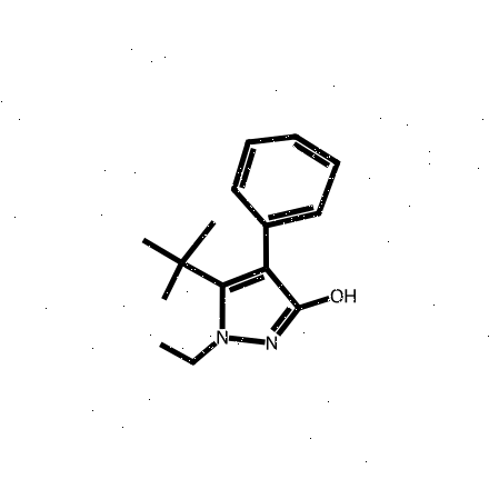 CCn1nc(O)c(-c2ccccc2)c1C(C)(C)C